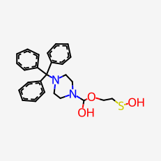 OSCCOC(O)N1CCN(C(c2ccccc2)(c2ccccc2)c2ccccc2)CC1